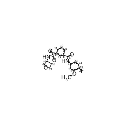 COc1cc(NC(=O)c2cccc(S(=O)(=O)N[C@H]3CCOC3)c2)ccc1F